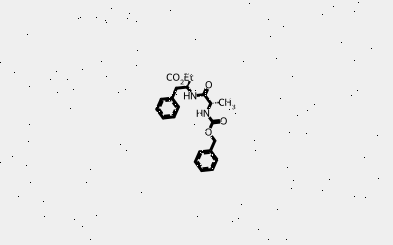 CCOC(=O)[C@H](Cc1ccccc1)NC(=O)[C@H](C)NC(=O)OCc1ccccc1